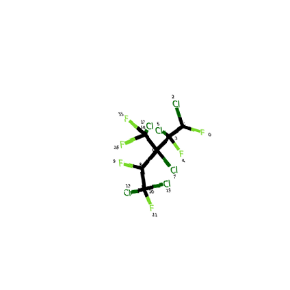 FC(Cl)C(F)(Cl)C(Cl)(C(F)C(F)(Cl)Cl)C(F)(F)Cl